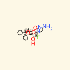 CC(C)(C)[Si](OC[C@H]1O[C@@H](n2ccc(N)nc2=O)[C@@H](F)C1O)(c1ccccc1)c1ccccc1